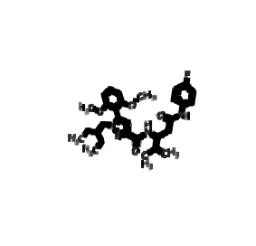 CCC(CC)Cn1nc(C(=O)NC(CC(=O)Nc2ccc(F)cc2)C(C)C)cc1-c1c(OC)cccc1OC